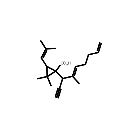 C#CC(C(C)=CCCC=C)C1(C(=O)O)C(C=C(C)C)C1(C)C